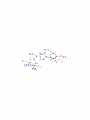 COc1cc(OS(=O)(=O)C(F)(F)F)c(C=O)cc1-c1ccc(N(C)C2CC(C)(C)NC(C)(C)C2)nn1